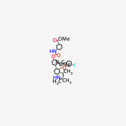 COC(=O)c1cccc(NC(=O)Oc2ccc(-c3ccc4c(c3COc3cc(F)ccc3C)C(C)=CC(C)(C)N4)c(OC)c2)c1